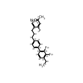 C=C(C)/C=C(F)\C(=C/C)CCCc1ccc(-c2ccc(CC)c(F)c2F)cc1